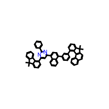 CC1(C)c2ccccc2-c2c(-c3cc(-c4ccc(-c5cccc(-c6cccc7c6-c6c(ccc8ccccc68)C7(C)C)c5)c5ccccc45)nc(-c4ccccc4)n3)cccc21